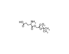 CC(C)(C)OC(=O)COC(=O)C(N)CCC(=O)O